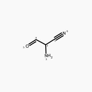 N#CC(N)C=O